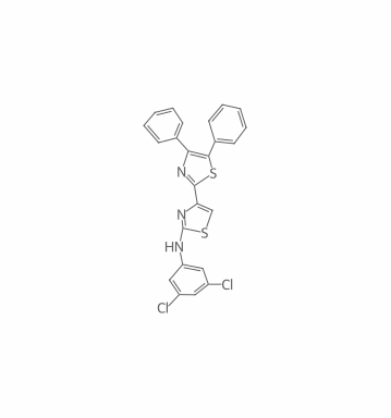 Clc1cc(Cl)cc(Nc2nc(-c3nc(-c4ccccc4)c(-c4ccccc4)s3)cs2)c1